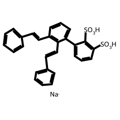 O=S(=O)(O)c1cccc(-c2cccc(C=Cc3ccccc3)c2C=Cc2ccccc2)c1S(=O)(=O)O.[Na]